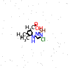 CC(=O)O.Cc1cccc(Nc2cc(Cl)nc(S)n2)c1C